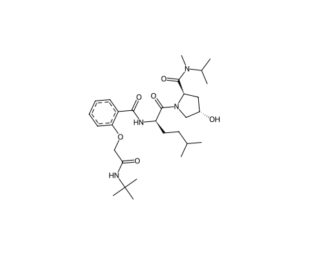 CC(C)CC[C@@H](NC(=O)c1ccccc1OCC(=O)NC(C)(C)C)C(=O)N1C[C@@H](O)C[C@@H]1C(=O)N(C)C(C)C